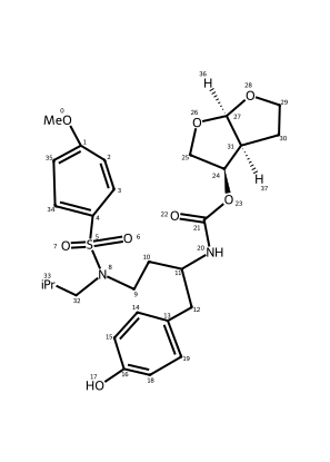 COc1ccc(S(=O)(=O)N(CCC(Cc2ccc(O)cc2)NC(=O)O[C@H]2CO[C@H]3OCC[C@H]32)CC(C)C)cc1